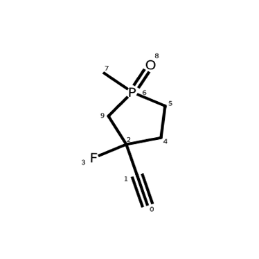 C#CC1(F)CCP(C)(=O)C1